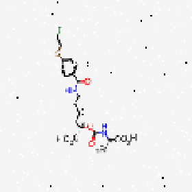 CCC[C@H](NC(=O)O[C@@H](CCCCNC(=O)c1ccc(SCCF)cc1)C(=O)O)C(=O)O